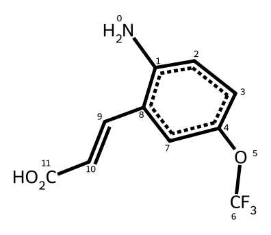 Nc1ccc(OC(F)(F)F)cc1C=CC(=O)O